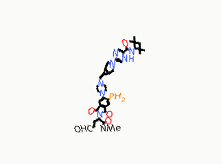 CNC(=O)C(CCC=O)N1C(=O)c2cc(P)c(N3CCN(CC4C5CN(c6cnc(C(=O)NC7C(C)(C)CC7(C)C)cn6)CC45)CC3)cc2C1=O